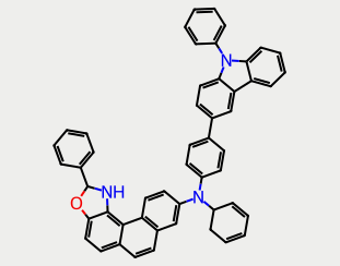 C1=CCC(N(c2ccc(-c3ccc4c(c3)c3ccccc3n4-c3ccccc3)cc2)c2ccc3c(ccc4ccc5c(c43)NC(c3ccccc3)O5)c2)C=C1